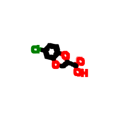 O=C(O)C1COc2cc(Cl)ccc2O1